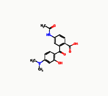 CC(=O)Nc1ccc(C(=O)O)c(C(=O)c2ccc(N(C)C)cc2O)c1